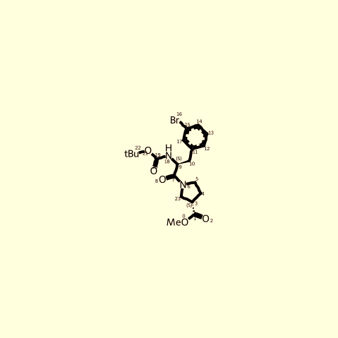 COC(=O)[C@H]1CCN(C(=O)[C@H](Cc2cccc(Br)c2)NC(=O)OC(C)(C)C)C1